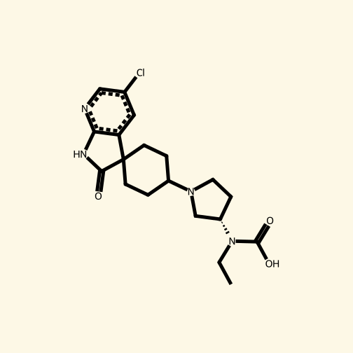 CCN(C(=O)O)[C@H]1CCN(C2CCC3(CC2)C(=O)Nc2ncc(Cl)cc23)C1